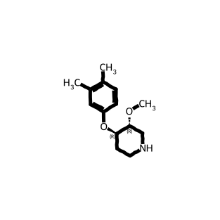 CO[C@@H]1CNCC[C@H]1Oc1ccc(C)c(C)c1